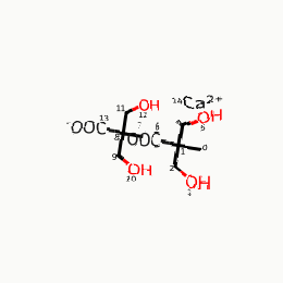 CC(CO)(CO)C(=O)[O-].CC(CO)(CO)C(=O)[O-].[Ca+2]